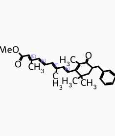 COC(=O)/C=C(C)/C=C/C=C(C)/C=C/C1=C(C)C(=O)C(Cc2ccccc2)CC1(C)C